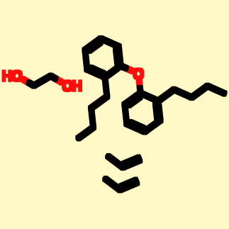 C=CC.C=CC.CCCCc1ccccc1Oc1ccccc1CCCC.OCCO